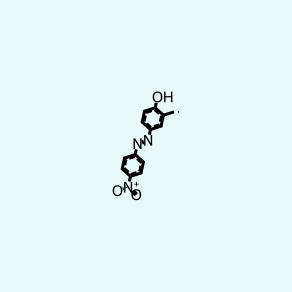 [CH2]c1cc(/N=N/c2ccc([N+](=O)[O-])cc2)ccc1O